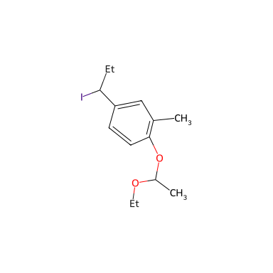 CCOC(C)Oc1ccc(C(I)CC)cc1C